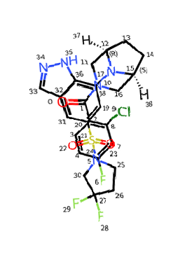 O=C(c1ccc(F)cc1Cl)N1C[C@H]2CC[C@@H](C1)N2c1cc(S(=O)(=O)N2CCC(F)(F)C2)cc2cn[nH]c12